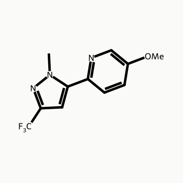 COc1ccc(-c2cc(C(F)(F)F)nn2C)nc1